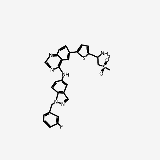 CS(=O)(=O)CC(N)c1ccc(-c2ccc3ncnc(Nc4ccc5c(cnn5Cc5cccc(F)c5)c4)c3c2)s1